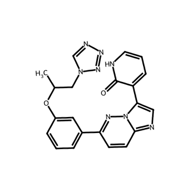 CC(Cn1cnnn1)Oc1cccc(-c2ccc3ncc(-c4ccc[nH]c4=O)n3n2)c1